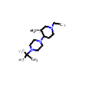 CCN1CCC(N2CCN(C(C)(C)C)CC2)[C@@H](C)C1